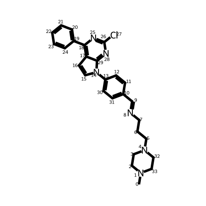 CN1CCN(CCCN=Cc2ccc(-n3ccc4c(-c5ccccc5)nc(Cl)nc43)cc2)CC1